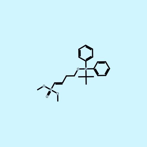 COP(=O)(C=CCCO[Si](c1ccccc1)(c1ccccc1)C(C)(C)C)OC